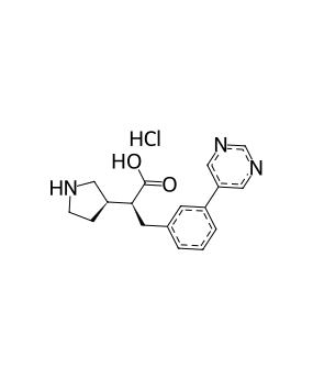 Cl.O=C(O)[C@@H](Cc1cccc(-c2cncnc2)c1)[C@H]1CCNC1